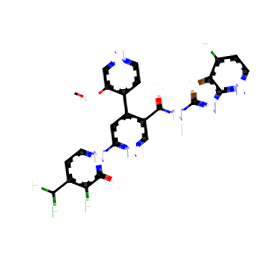 COc1cnccc1-c1cc(-n2ccc(C(F)F)c(F)c2=O)ncc1C(=O)Nc1nc2nccc(F)c2s1